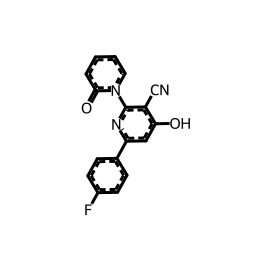 N#Cc1c(O)cc(-c2ccc(F)cc2)nc1-n1ccccc1=O